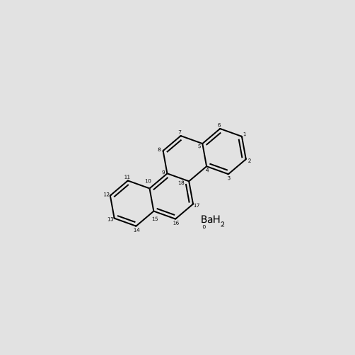 [BaH2].c1ccc2c(c1)ccc1c3ccccc3ccc21